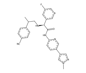 CC(CN[C@H](C(=O)Nc1ccc(-c2cnn(C)c2)cn1)c1cncc(F)c1)c1ccc(C#N)cc1